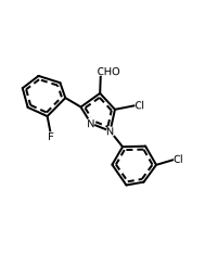 O=Cc1c(-c2ccccc2F)nn(-c2cccc(Cl)c2)c1Cl